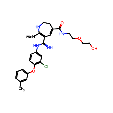 CNC1=C(C(=N)Nc2ccc(Oc3cccc(C(F)(F)F)c3)c(Cl)c2)C=C(C(=O)NCCOCCO)CCN1